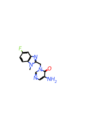 Cn1c(Cn2cncc(N)c2=O)nc2cc(F)ccc21